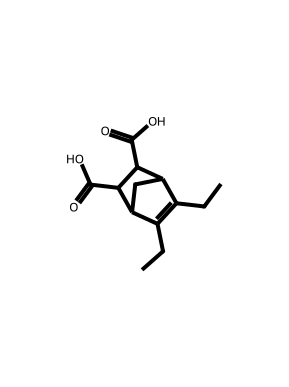 CCC1=C(CC)C2CC1C(C(=O)O)C2C(=O)O